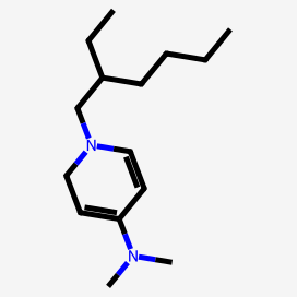 CCCCC(CC)CN1C=CC(N(C)C)=CC1